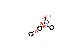 O=C(O)C1CCN(Cc2ccccc2)C(S(=O)(=O)c2ccc(OCc3ccccc3)cc2)C1